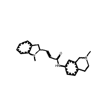 CN1CCc2ccc(NC(=O)/C=C/C3Cc4ccccc4N3C)cc2C1